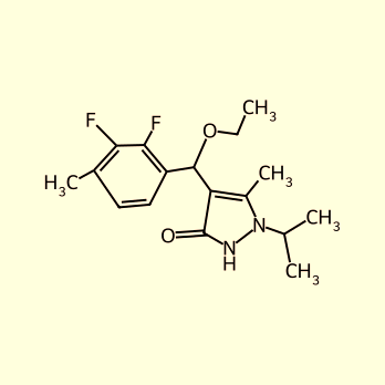 CCOC(c1ccc(C)c(F)c1F)c1c(C)n(C(C)C)[nH]c1=O